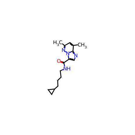 Cc1cc(C)c2ncc(C(=O)NCCCCC3CC3)n2n1